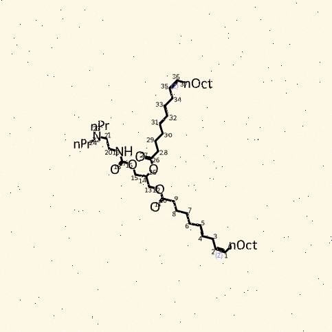 CCCCCCCC/C=C\CCCCCCCC(=O)OCC(COC(=O)NCCN(CCC)CCC)OC(=O)CCCCCCC/C=C\CCCCCCCC